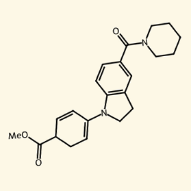 COC(=O)C1C=CC(N2CCc3cc(C(=O)N4CCCCC4)ccc32)=CC1